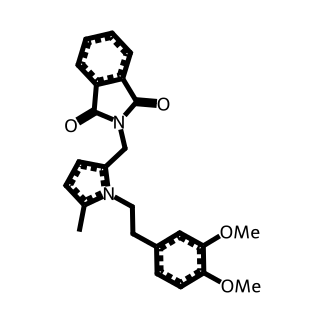 COc1ccc(CCn2c(C)ccc2CN2C(=O)c3ccccc3C2=O)cc1OC